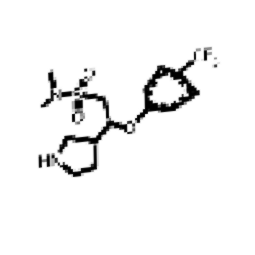 CN(C)S(=O)(=O)C[C@@H](Oc1ccc(C(F)(F)F)cc1)[C@H]1CCNC1